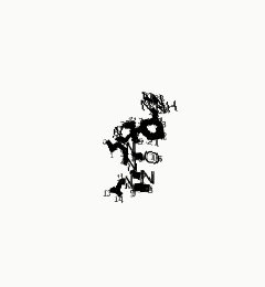 CCCc1cn(-c2nccn2CC(C)C)c(=O)n1CC1(c2cccc(-c3nnn[nH]3)c2)C=CN=CC1